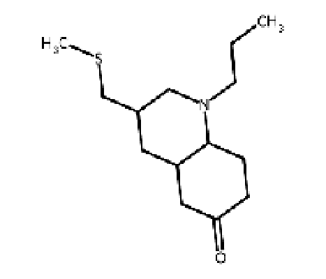 CCCN1CC(CSC)CC2CC(=O)CCC21